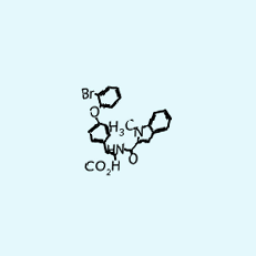 Cn1c(C(=O)N/C(=C\c2ccc(Oc3ccccc3Br)cc2)C(=O)O)cc2ccccc21